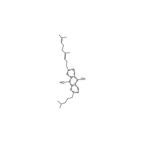 CC(C)=CCC/C(C)=C/CCc1ccc2c(O)c3ccc(CCCC(C)C)cc3c(O)c2c1